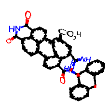 Cc1ccccc1CNC(=N)c1cc(C(=O)O)c2c3ccc4c5c(ccc(c6ccc(C(=O)NCc7ccccc7C)c1c62)c53)C(=O)NC4=O